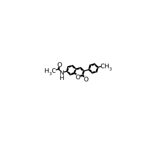 CC(=O)Nc1ccc2cc(-c3ccc(C)cc3)c(=O)oc2c1